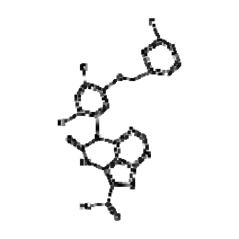 O=C(O)c1sc2ncnc3c2c1NC(=O)N3c1cc(OCc2cccc(F)c2)c(Cl)cc1Cl